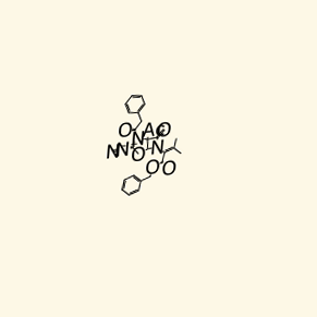 CC(=O)C12C(=O)N(C(C(=O)OCc3ccccc3)=C(C)C)C1OC(=[N+]=[N-])N2C(=O)Cc1ccccc1